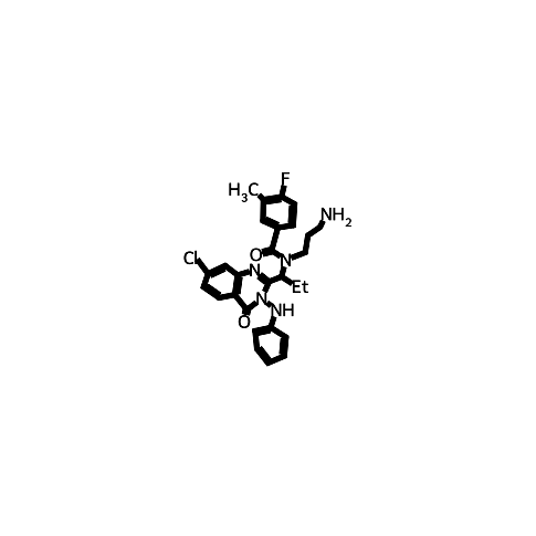 CCC(c1nc2cc(Cl)ccc2c(=O)n1Nc1ccccc1)N(CCCN)C(=O)c1ccc(F)c(C)c1